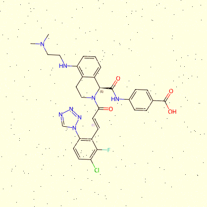 CN(C)CCNc1cccc2c1CCN(C(=O)/C=C/c1c(-n3cnnn3)ccc(Cl)c1F)[C@@H]2C(=O)Nc1ccc(C(=O)O)cc1